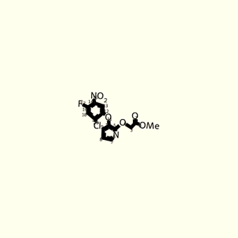 COC(=O)COc1ncccc1Oc1cc([N+](=O)[O-])c(F)cc1Cl